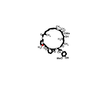 CO[C@@H]1C[C@H](C[C@@H](C)[C@@H]2CC(=O)[C@H](C)/C=C(\C)[C@@H](O)[C@@H](OC)C(=O)[C@H](C)C[C@H](C)/C=C/C=C/C=C(\C)C(=O)C[C@@H]3CC[C@@H](C)[C@@](O)(O3)C(=O)C(=O)N3CCCC[C@H]3C(=O)O2)CC[C@H]1O